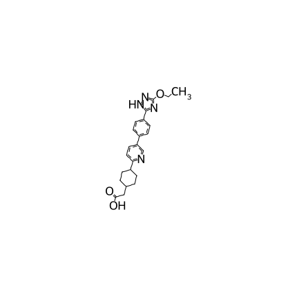 CCOc1n[nH]c(-c2ccc(-c3ccc(C4CCC(CC(=O)O)CC4)nc3)cc2)n1